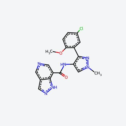 COc1ccc(Cl)cc1-c1nn(C)cc1NC(=O)c1cncc2cn[nH]c12